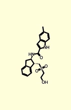 Cc1ccc2[nH]c(C(=O)N[C@@H]3Cc4ccccc4[C@H]3CS(=O)(=O)CCO)cc2c1